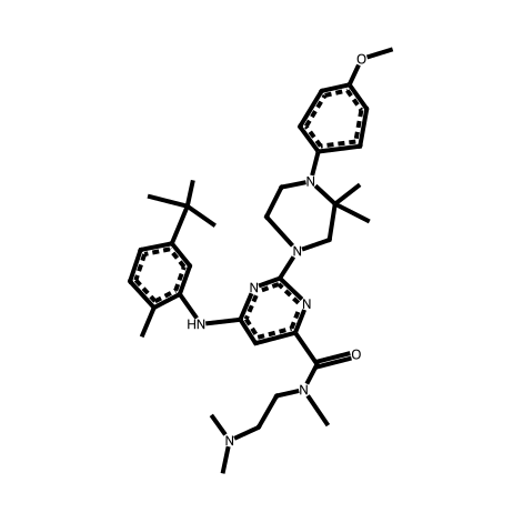 COc1ccc(N2CCN(c3nc(Nc4cc(C(C)(C)C)ccc4C)cc(C(=O)N(C)CCN(C)C)n3)CC2(C)C)cc1